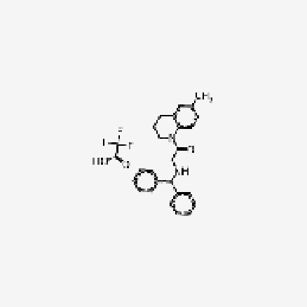 Cc1ccc2c(c1)CCCN2C(=O)CNC(c1ccccc1)c1ccccc1.O=C(O)C(F)(F)F